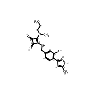 CN(CCC(F)(F)F)c1c(NCc2ccc(-c3noc(C(F)(F)F)n3)c(F)c2)c(=O)c1=O